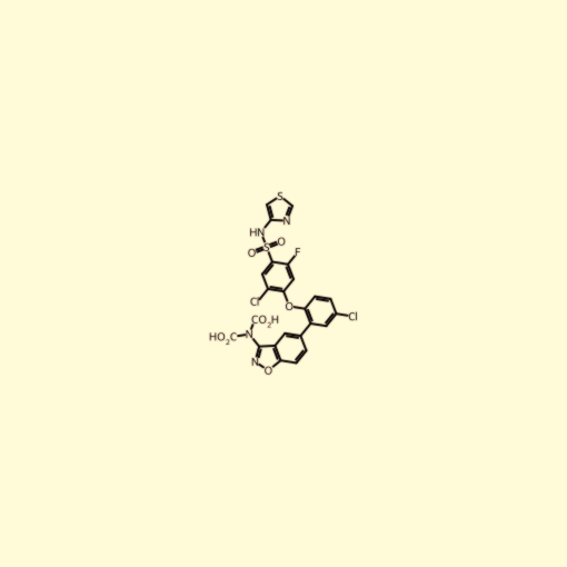 O=C(O)N(C(=O)O)c1noc2ccc(-c3cc(Cl)ccc3Oc3cc(F)c(S(=O)(=O)Nc4cscn4)cc3Cl)cc12